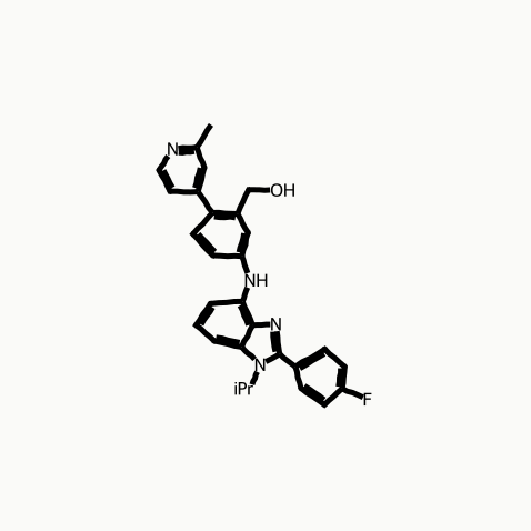 Cc1cc(-c2ccc(Nc3cccc4c3nc(-c3ccc(F)cc3)n4C(C)C)cc2CO)ccn1